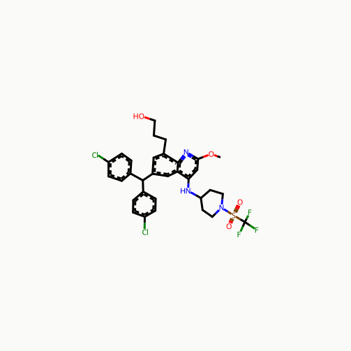 COc1cc(NC2CCN(S(=O)(=O)C(F)(F)F)CC2)c2cc(C(c3ccc(Cl)cc3)c3ccc(Cl)cc3)cc(CCCO)c2n1